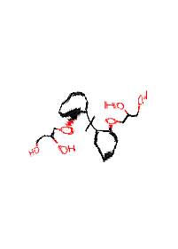 CC(C)(c1ccccc1OCC(O)CO)c1ccccc1OCC(O)CO